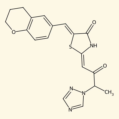 CC(C(=O)/C=c1\[nH]c(=O)/c(=C/c2ccc3c(c2)CCCO3)s1)n1cncn1